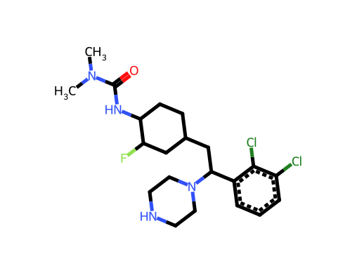 CN(C)C(=O)NC1CCC(CC(c2cccc(Cl)c2Cl)N2CCNCC2)CC1F